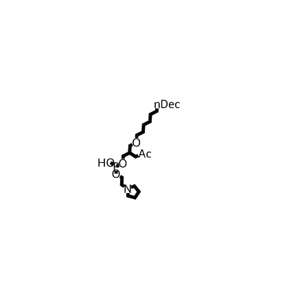 CCCCCCCCCCCCCCCCOCC(COP(O)OCCN1CCCC1)CC(C)=O